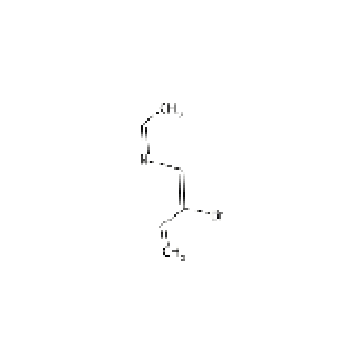 C=C/C(Br)=C\N=C/C